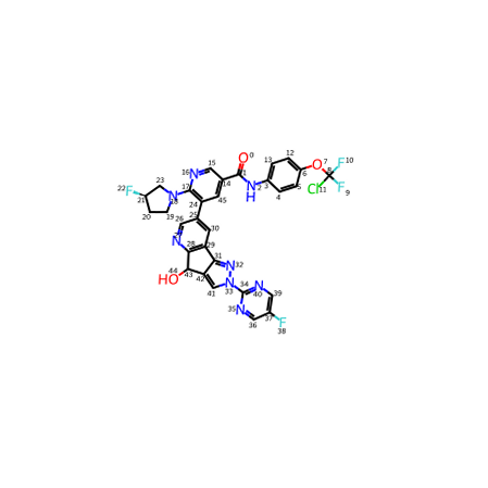 O=C(Nc1ccc(OC(F)(F)Cl)cc1)c1cnc(N2CC[C@@H](F)C2)c(-c2cnc3c(c2)-c2nn(-c4ncc(F)cn4)cc2C3O)c1